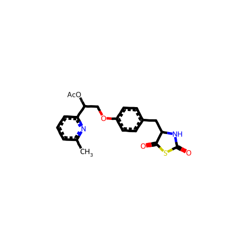 CC(=O)OC(COc1ccc(CC2NC(=O)SC2=O)cc1)c1cccc(C)n1